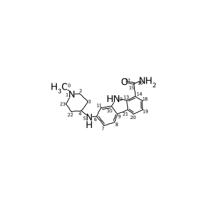 CN1CCC(Nc2ccc3c(c2)[nH]c2c(C(N)=O)cccc23)CC1